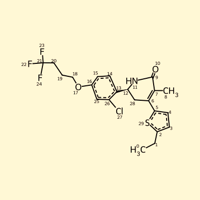 CCc1ccc(C2=C(C)C(=O)N[C@H](c3ccc(OCCCC(F)(F)F)cc3Cl)C2)s1